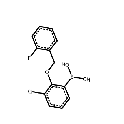 OB(O)c1cccc(Cl)c1OCc1ccccc1F